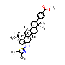 C=C(C)[C@@H]1CC[C@]2(Nc3nc(C)c(C)s3)CC[C@]3(C)[C@H](CCC4[C@@]5(C)CC=C(c6ccc(C(=O)OC)cc6)C(C)(C)C5CC[C@]43C)C12